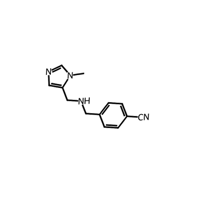 Cn1cncc1CNCc1ccc(C#N)cc1